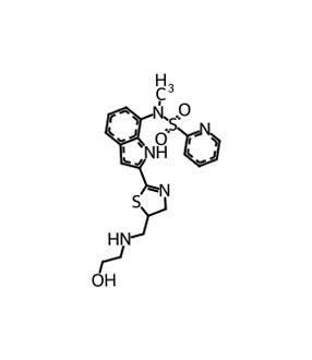 CN(c1cccc2cc(C3=NCC(CNCCO)S3)[nH]c12)S(=O)(=O)c1ccccn1